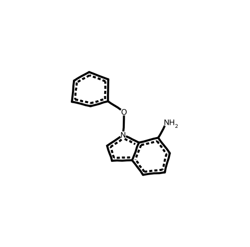 Nc1cccc2ccn(Oc3ccccc3)c12